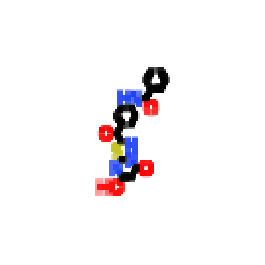 O=C(CSc1nc(O)cc(=O)[nH]1)c1ccc(NC(=O)c2ccccc2)cc1